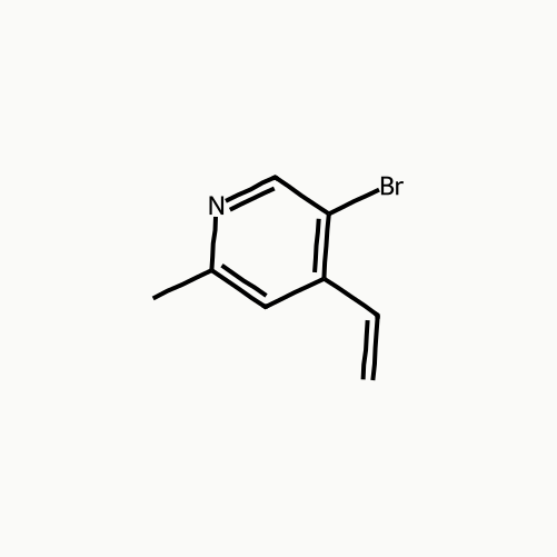 C=Cc1cc(C)ncc1Br